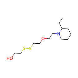 CCC1CCCCN1CCOCCSSCCO